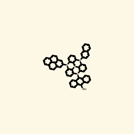 CC(C)(C)c1c2ccccc2c(N2c3cccc4c3P3(=S)c5c(cccc5N(c5cc6ccc7cccc8ccc(c5)c6c78)c5cccc2c53)N4c2ccc3ccccc3c2)c2ccccc12